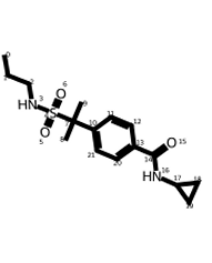 CCCNS(=O)(=O)C(C)(C)c1ccc(C(=O)NC2CC2)cc1